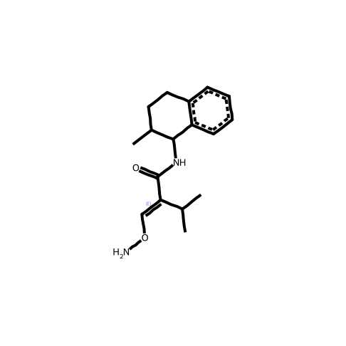 CC(C)/C(=C\ON)C(=O)NC1c2ccccc2CCC1C